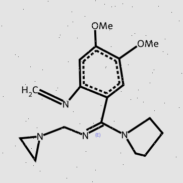 C=Nc1cc(OC)c(OC)cc1/C(=N\CN1CC1)N1CCCC1